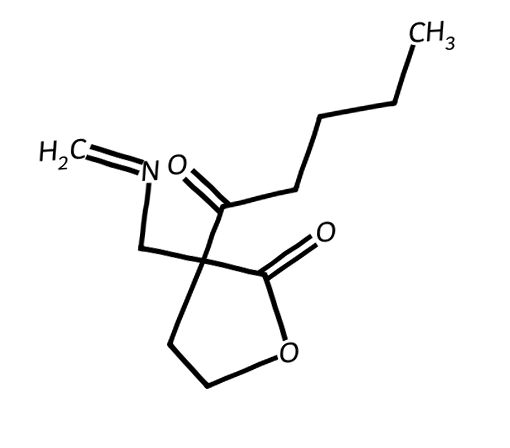 C=NCC1(C(=O)CCCC)CCOC1=O